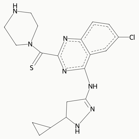 S=C(c1nc(NC2=NNC(C3CC3)C2)c2cc(Cl)ccc2n1)N1CCNCC1